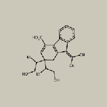 CCC(CO)C1(C(CC)CO)C=C(C(=O)O)C2=C(C1)C(=C(C#N)C#N)c1ccccc12